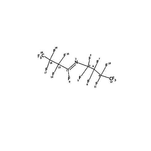 FC(=NC(F)(F)C(F)(F)C(F)(F)C(F)(F)F)C(F)(F)C(F)(F)C(F)(F)F